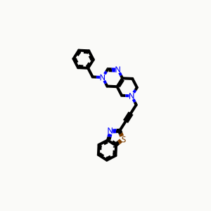 C(#Cc1nc2ccccc2s1)CN1CCC2=C(CN(Cc3ccccc3)C=N2)C1